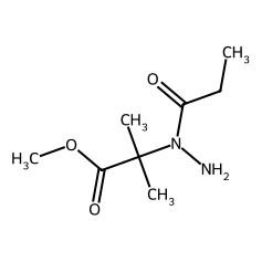 CCC(=O)N(N)C(C)(C)C(=O)OC